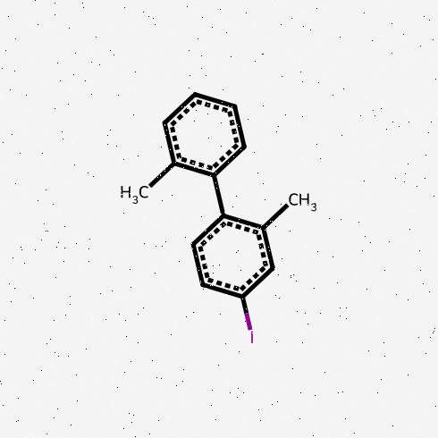 Cc1ccccc1-c1ccc(I)cc1C